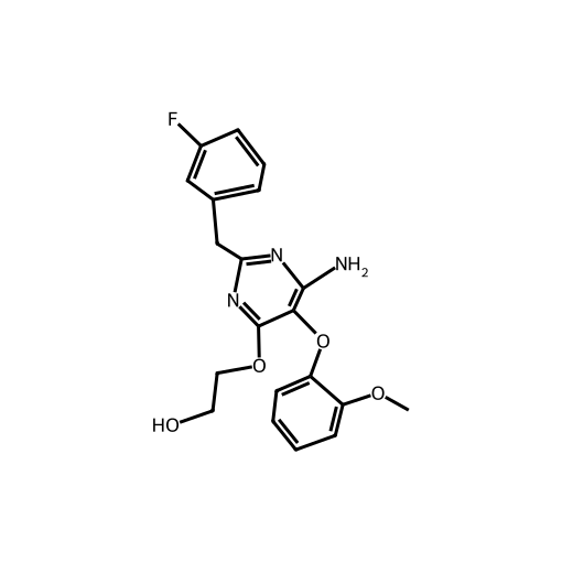 COc1ccccc1Oc1c(N)nc(Cc2cccc(F)c2)nc1OCCO